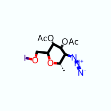 CC(=O)OC1C(N=[N+]=[N-])[C@H](C)OC(COI)[C@H]1OC(C)=O